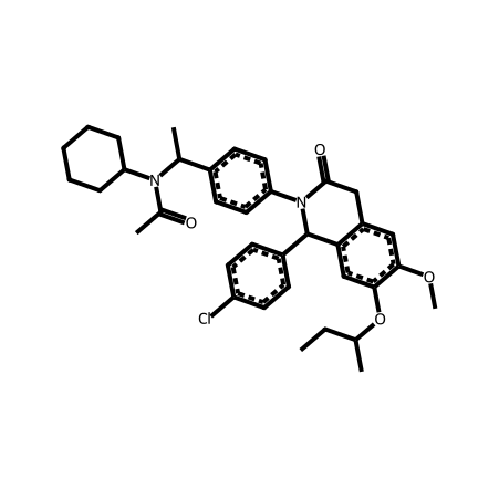 CCC(C)Oc1cc2c(cc1OC)CC(=O)N(c1ccc(C(C)N(C(C)=O)C3CCCCC3)cc1)C2c1ccc(Cl)cc1